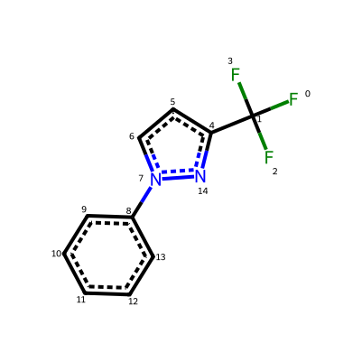 FC(F)(F)c1[c]cn(-c2ccccc2)n1